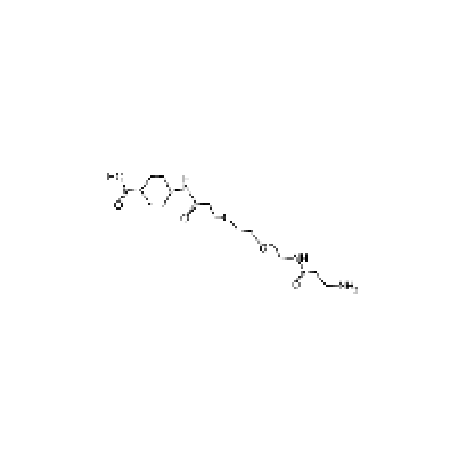 NCCC(=O)NCCOCCOCCC(=O)N[C@H]1CC[C@@H](C(=O)O)CC1